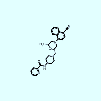 C[C@@H]1CN(c2ccc(C#N)c3ncccc23)C[C@H](CN2CCC(NC(=O)c3ccccn3)CC2)O1